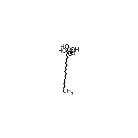 CCCCCCCCCCCCCCCCCCC(OS(=O)(=O)O)C(O)CO